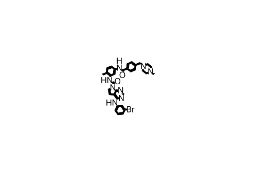 Cc1ccc(NC(=O)c2ccc(CN3CCN(C)CC3)cc2)cc1NC(=O)n1ccc2c(Nc3cccc(Br)c3)ncnc21